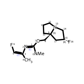 CN/C(=N\C(C)=C/F)OC[C@@]12CCCN1C[C@H](F)C2